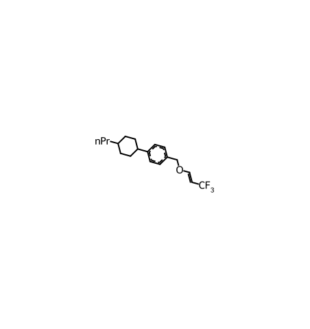 CCCC1CCC(c2ccc(COC=CC(F)(F)F)cc2)CC1